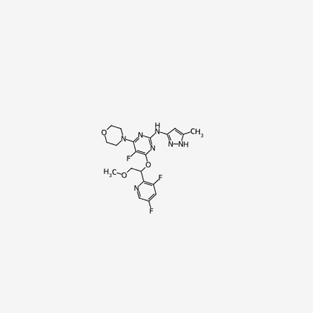 COCC(Oc1nc(Nc2cc(C)[nH]n2)nc(N2CCOCC2)c1F)c1ncc(F)cc1F